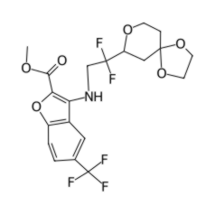 COC(=O)c1oc2ccc(C(F)(F)F)cc2c1NCC(F)(F)C1CC2(CCO1)OCCO2